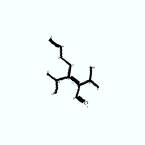 C=CCC/C(=C(/C=O)C(C)C)C(C)C